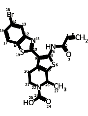 C=CC(=O)Nc1sc2c(c1-c1nc3cc(Br)ccc3s1)CCN(C(=O)O)C2C